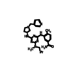 Cc1ccc(C(N)=O)cc1Nc1nc(N[C@H]2CCN(Cc3ccncc3)C2)nc(N(C)CC(C)C)n1